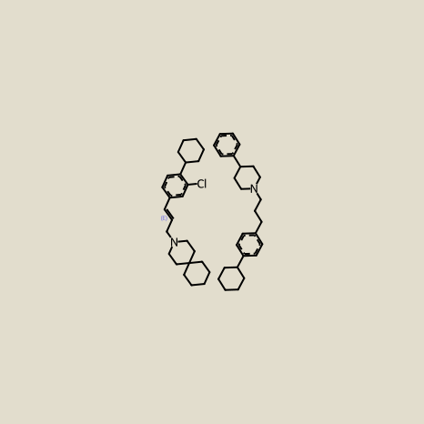 Clc1cc(/C=C/CN2CCC3(CCCCC3)CC2)ccc1C1CCCCC1.c1ccc(C2CCN(CCCc3ccc(C4CCCCC4)cc3)CC2)cc1